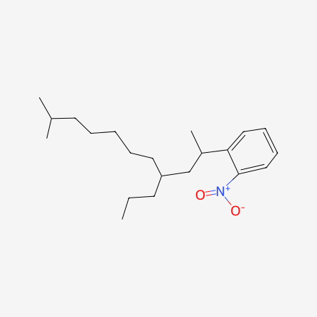 CCCC(CCCCCC(C)C)CC(C)c1ccccc1[N+](=O)[O-]